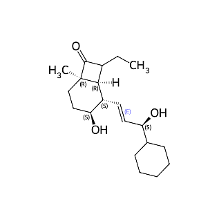 CCC1C(=O)[C@]2(C)CC[C@H](O)[C@@H](/C=C/[C@@H](O)C3CCCCC3)[C@H]12